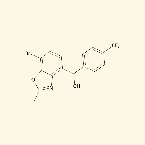 Cc1nc2c(C(O)c3ccc(C(F)(F)F)cc3)ccc(Br)c2o1